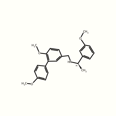 COc1ccc(-c2cc(CN[C@H](C)c3cccc(OC)c3)ccc2OC)cc1